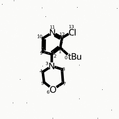 CC(C)(C)c1c(N2CCOCC2)ccnc1Cl